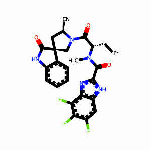 CC(C)C[C@@H](C(=O)N1C[C@]2(C[C@H]1C#N)C(=O)Nc1ccccc12)N(C)C(=O)c1nc2c(F)c(F)c(F)cc2[nH]1